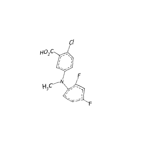 CN(c1ccc(Cl)c(C(=O)O)c1)c1ccc(F)cc1F